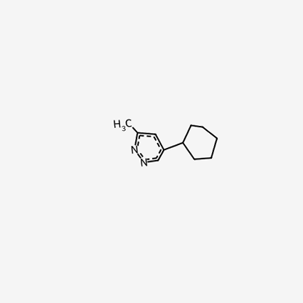 Cc1cc(C2CCCCC2)cnn1